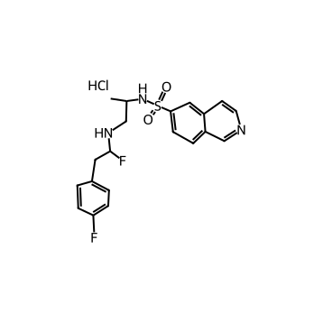 CC(CNC(F)Cc1ccc(F)cc1)NS(=O)(=O)c1ccc2cnccc2c1.Cl